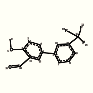 COc1ncc(-c2cccc(C(F)(F)F)c2)cc1C=O